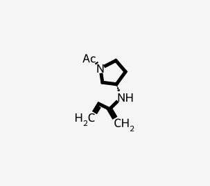 C=CC(=C)N[C@H]1CCN(C(C)=O)C1